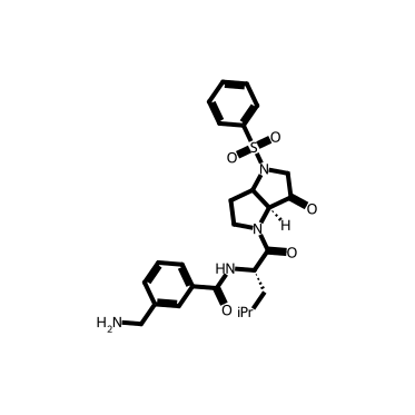 CC(C)C[C@H](NC(=O)c1cccc(CN)c1)C(=O)N1CCC2[C@H]1C(=O)CN2S(=O)(=O)c1ccccc1